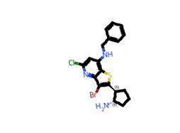 N[C@H]1CCC[C@@H]1c1sc2c(NCc3ccccc3)cc(Cl)nc2c1Br